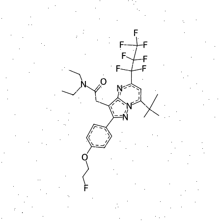 CCN(CC)C(=O)Cc1c(-c2ccc(OCCF)cc2)nn2c(C(C)(C)C)cc(C(F)(F)C(F)(F)C(F)(F)F)nc12